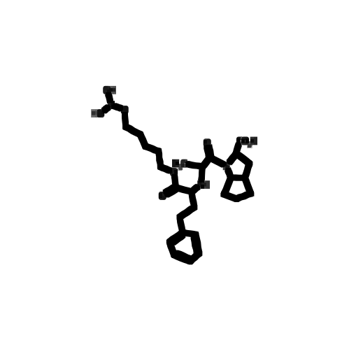 CC(NC(CCc1ccccc1)C(=O)OCCCCCON(O)O)C(=O)N1C(C(=O)O)CC2CCCC21